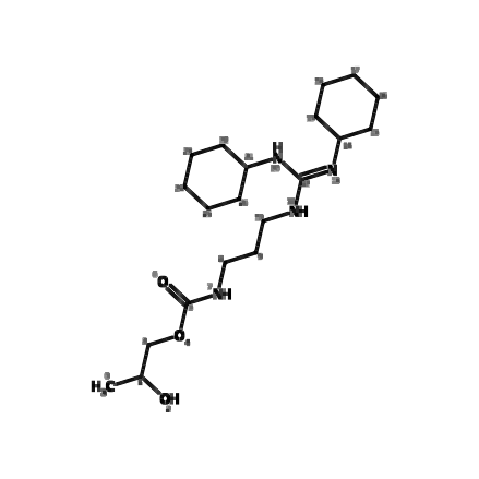 CC(O)COC(=O)NCCCNC(=NC1CCCCC1)NC1CCCCC1